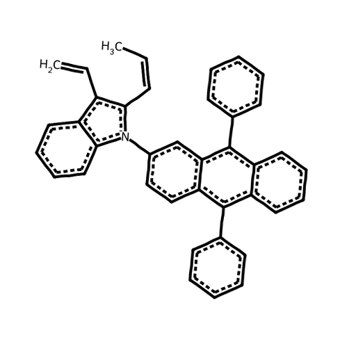 C=Cc1c(/C=C\C)n(-c2ccc3c(-c4ccccc4)c4ccccc4c(-c4ccccc4)c3c2)c2ccccc12